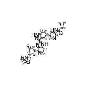 CS(=O)(=O)NCc1cc(F)cc(-c2nccc3[nH]c(-c4n[nH]c5ccc(-c6cncc(NC(=O)C7CCC7)c6)cc45)nc23)c1